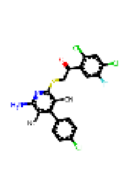 N#Cc1c(N)nc(SCC(=O)c2cc(F)c(Cl)cc2Cl)c(C#N)c1-c1ccc(Cl)cc1